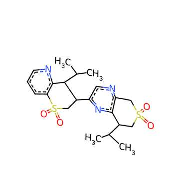 CC(C)C1CS(=O)(=O)Cc2ncc(C3CS(=O)(=O)c4cccnc4C3C(C)C)nc21